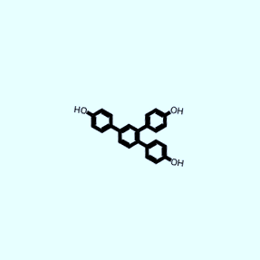 Oc1ccc(-c2ccc(-c3ccc(O)cc3)c(-c3ccc(O)cc3)c2)cc1